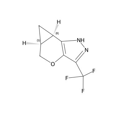 FC(F)(F)c1n[nH]c2c1OC[C@H]1C[C@@H]21